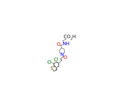 O=C(O)CCNC(=O)C1CCN(C(=O)/C=C/c2cc3ccsc3c(Cl)c2Cl)CC1